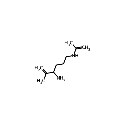 C=C(C)NCCCC(N)C(=C)C